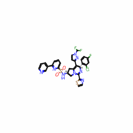 O=S(=O)(N[C@H]1CC2=C(c3ccn(C(F)F)n3)[C@H](c3ccc(F)cc3Cl)N=C(c3nccs3)N2C1)c1cccc(-c2cccnc2)n1